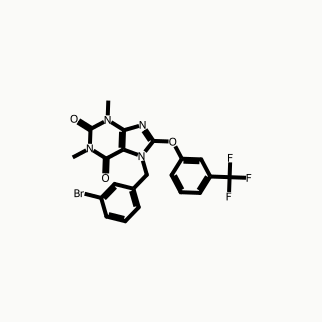 Cn1c(=O)c2c(nc(Oc3cccc(C(F)(F)F)c3)n2Cc2cccc(Br)c2)n(C)c1=O